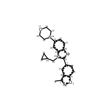 Cc1noc2ccc(-c3nc4ccc(N5CCOCC5)cc4n3CC3CC3)cc12